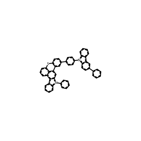 c1ccc(-c2ccc3c(c2)c2ccccc2n3-c2ccc(-c3ccc4c(c3)-c3cc5c(c6cccc(c36)S4)c3ccccc3n5-c3ccccc3)cc2)cc1